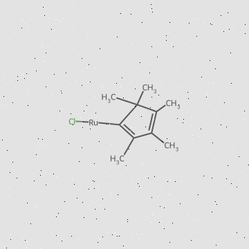 CC1=C(C)C(C)(C)[C]([Ru][Cl])=C1C